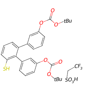 CC(C)(C)OC(=O)Oc1cccc(-c2cccc(S)c2-c2cccc(OC(=O)OC(C)(C)C)c2)c1.O=S(=O)(O)CC(F)(F)F